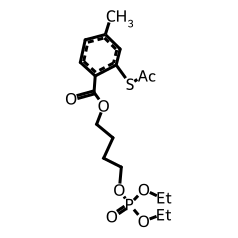 CCOP(=O)(OCC)OCCCCOC(=O)c1ccc(C)cc1SC(C)=O